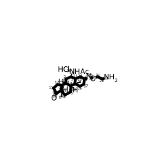 CC(=O)N[C@H]1C[C@@H]2[C@H](CC[C@]3(C)C(=O)CC[C@@H]23)[C@@]2(C)CCC(=NOCCN)CC12.Cl